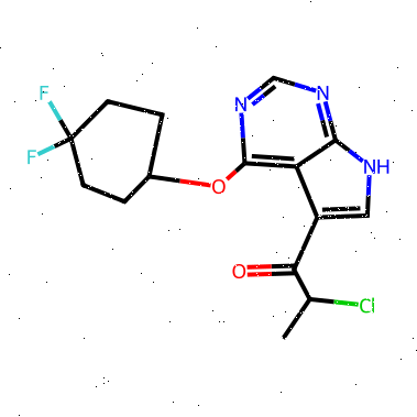 CC(Cl)C(=O)c1c[nH]c2ncnc(OC3CCC(F)(F)CC3)c12